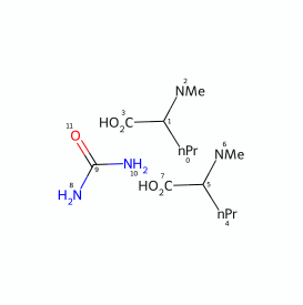 CCCC(NC)C(=O)O.CCCC(NC)C(=O)O.NC(N)=O